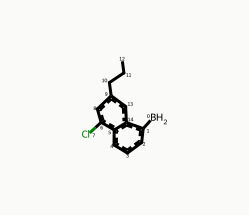 Bc1cccc2c(Cl)cc(CCC)cc12